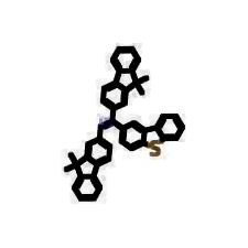 CC1(C)c2ccccc2-c2ccc(/C=C(/c3ccc4c(c3)C(C)(C)c3ccccc3-4)c3ccc4sc5ccccc5c4c3)cc21